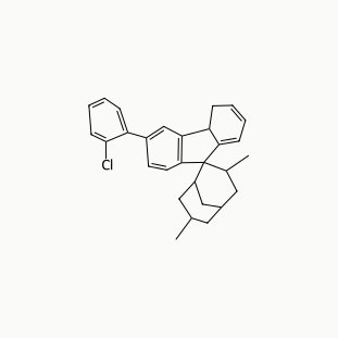 CC1CC2CC(C)C3(C4=CC=CCC4c4cc(-c5ccccc5Cl)ccc43)C(C1)C2